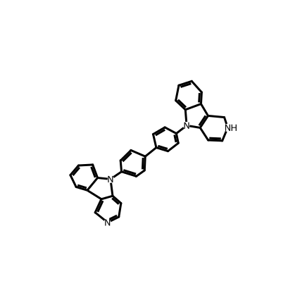 C1=Cc2c(c3ccccc3n2-c2ccc(-c3ccc(-n4c5ccccc5c5cnccc54)cc3)cc2)CN1